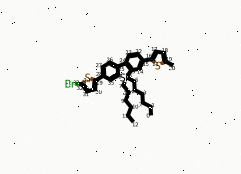 CCCCCC[Si]1(CCCCCC)c2cc(-c3ccc(C)s3)ccc2-c2ccc(-c3ccc(Br)s3)cc21